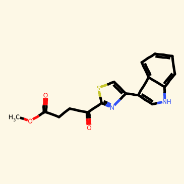 COC(=O)CCC(=O)c1nc(-c2c[nH]c3ccccc23)cs1